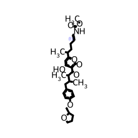 COC(=O)N/C=C/CCC(C)c1cc(O)c(C(=O)C(C)C(C)Cc2ccc(OCC3CCCO3)cc2)c(=O)o1